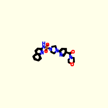 O=C(c1ccc(N2CCN(S(=O)(=O)Nc3ccc4ccccc4n3)CC2)nc1)N1CCOCC1